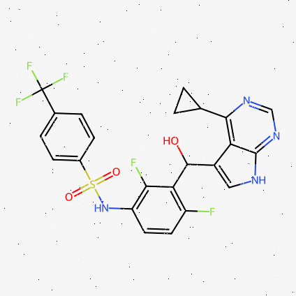 O=S(=O)(Nc1ccc(F)c(C(O)c2c[nH]c3ncnc(C4CC4)c23)c1F)c1ccc(C(F)(F)F)cc1